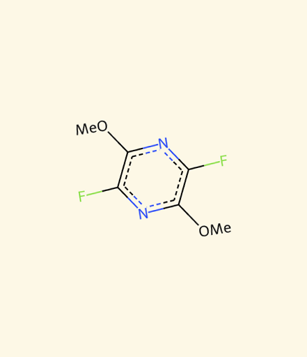 COc1nc(F)c(OC)nc1F